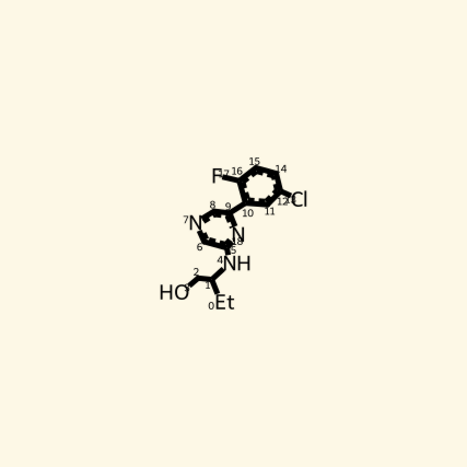 CCC(CO)Nc1cncc(-c2cc(Cl)ccc2F)n1